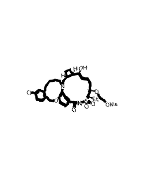 CC[C@@H]1[C@H](OCCOC)C/C=C/[C@H](O)[C@@H]2CC[C@H]2CN2CCCCc3cc(Cl)ccc3COc3ccc(cc32)C(=O)NS1(=O)=O